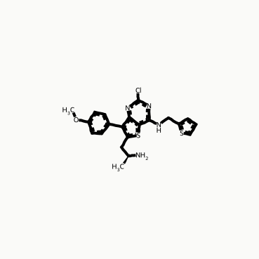 COc1ccc(-c2c(C[C@H](C)N)sc3c(NCc4cccs4)nc(Cl)nc23)cc1